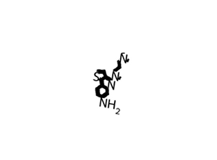 CN(C)CCCN(C)c1nc2cc(N)ccc2c2sccc12